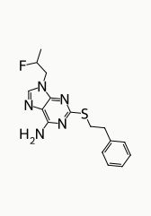 CC(F)Cn1cnc2c(N)nc(SCCc3ccccc3)nc21